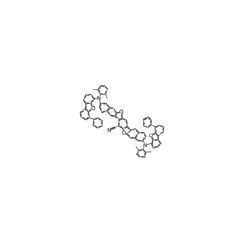 Cc1cccc(C)c1N(c1ccc2cc3c(cc2c1)oc1c(C#N)c2c(cc13)oc1cc3cc(N(c4c(C)cccc4C)c4cccc5c4oc4c(-c6ccccc6)cccc45)ccc3cc12)c1cccc2c1oc1c(-c3ccccc3)cccc12